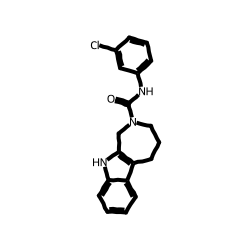 O=C(Nc1cccc(Cl)c1)N1CCCc2c([nH]c3ccccc23)C1